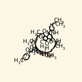 CO[C@H]1/C=C/O[C@@]2(C)Oc3c(C)c(O)c4c(c3C2=O)C2=NC3(CCN(CC(C)C)CC3)NC2=C(NC(=O)/C(C)=C\C=C\C(C)[C@H](O)[C@@H](C)[C@@H](O)[C@@H](C)[C@H](OC(=O)CC(=O)N2CCCN(C)CC2)C1)C4=O